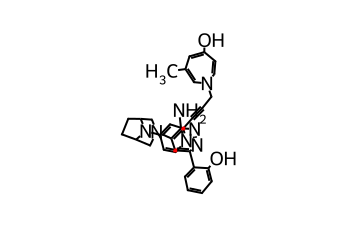 CC1=CN(CC#Cc2cc(N3C4CCC3CN(c3cc(-c5ccccc5O)nnc3N)C4)ccn2)C=CC(O)=C1